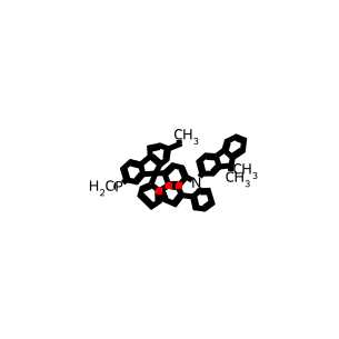 C=Pc1ccc2c(c1)C1(c3ccccc3-c3cc(N(c4ccc5c(c4)C(C)(C)c4ccccc4-5)c4ccccc4-c4ccccc4)ccc31)c1cc(CC)ccc1-2